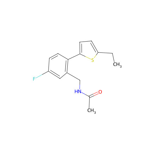 CCc1ccc(-c2ccc(F)cc2CNC(C)=O)s1